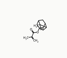 C=C(C)C(=O)OC12CC3CC(C1)C(C)(O)C3C2